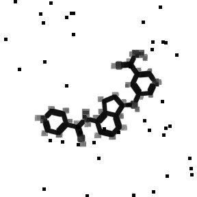 NC(=O)c1cncc(O[C@@H]2CCc3c(NC(=O)c4ccncc4)cccc32)c1